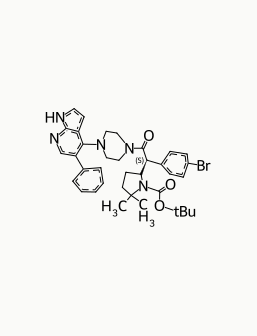 CC(C)(C)OC(=O)N1C([C@@H](C(=O)N2CCN(c3c(-c4ccccc4)cnc4[nH]ccc34)CC2)c2ccc(Br)cc2)CCC1(C)C